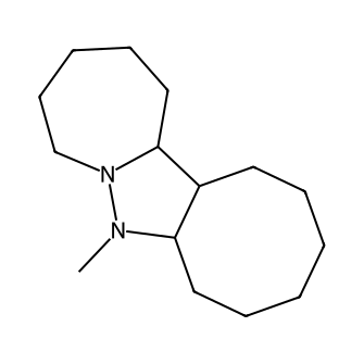 CN1C2CCCCCCC2C2CCCCCN21